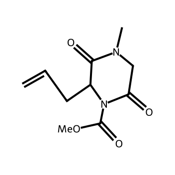 C=CCC1C(=O)N(C)CC(=O)N1C(=O)OC